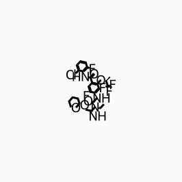 CCN(C(=N)COC1CCCCO1)C(=O)Nc1cc(O[C@@H](C)C(F)(F)F)c(C(=O)Nc2c(F)cccc2Cl)cc1F